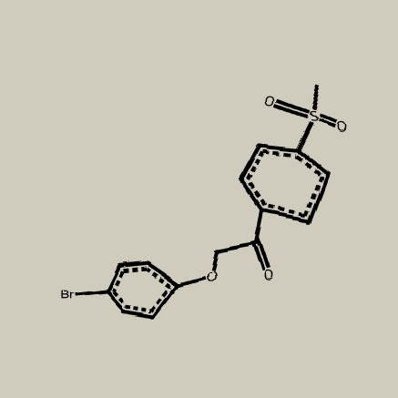 CS(=O)(=O)c1ccc(C(=O)COc2ccc(Br)cc2)cc1